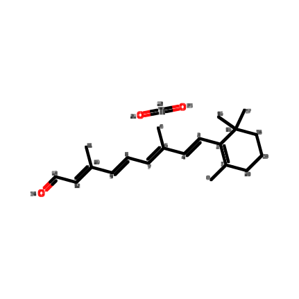 CC1=C(/C=C/C(C)=C/C=C/C(C)=C/C=O)C(C)(C)CCC1.[O]=[Ti]=[O]